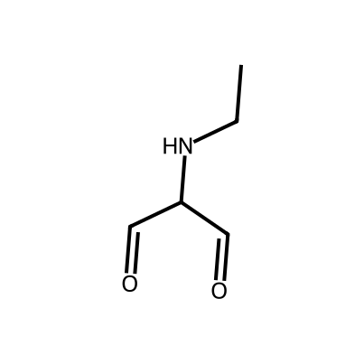 CCNC(C=O)C=O